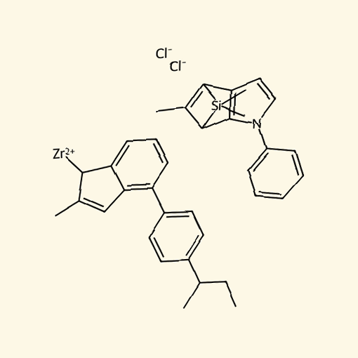 CC1=C2c3ccn(-c4ccccc4)c3C1[Si]2(C)C.CCC(C)c1ccc(-c2cccc3c2C=C(C)[CH]3[Zr+2])cc1.[Cl-].[Cl-]